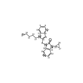 O=c1n(Cc2cc3ncccc3n2CCCCF)c2cnccc2n1C1CC1